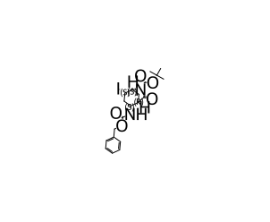 CC(C)(C)OC(=O)N1C(=O)[C@@H]2C[C@H]1[C@@H](I)C[C@@H]2NC(=O)OCc1ccccc1